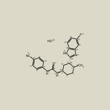 CN1CC[C@@H](NC(=O)Nc2ccc(C#N)cc2)C[C@@H]1c1nc2cc(F)ccc2[nH]1.Cl